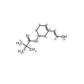 CC(C)(C)C(=O)ON1CCC=C(C=NO)C1